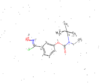 CCN(C(=O)Oc1cccc(C(Cl)=NO)c1)C(C)(C)C